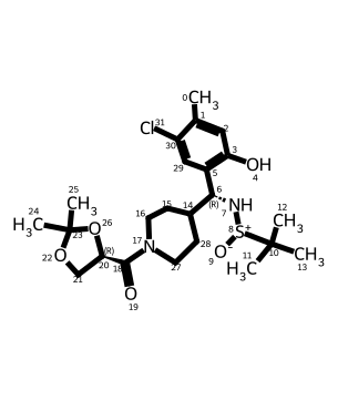 Cc1cc(O)c([C@H](N[S+]([O-])C(C)(C)C)C2CCN(C(=O)[C@H]3COC(C)(C)O3)CC2)cc1Cl